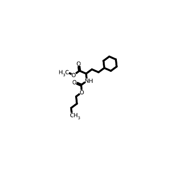 CCCCOC(=O)NC(CCC1CCCCC1)C(=O)OC